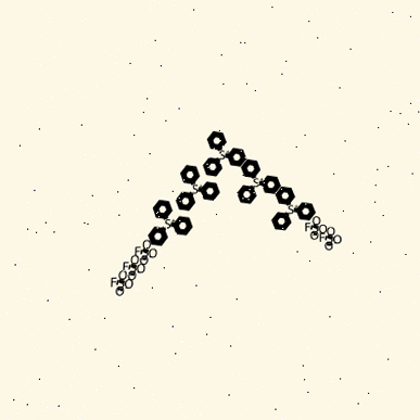 O=S(=O)([O-])F.O=S(=O)([O-])F.O=S(=O)([O-])F.O=S(=O)([O-])F.O=S(=O)([O-])F.c1ccc([S+](c2ccccc2)c2ccccc2)cc1.c1ccc([S+](c2ccccc2)c2ccccc2)cc1.c1ccc([S+](c2ccccc2)c2ccccc2)cc1.c1ccc([S+](c2ccccc2)c2ccccc2)cc1.c1ccc([S+](c2ccccc2)c2ccccc2)cc1